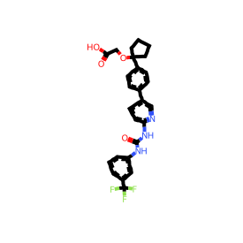 O=C(O)COC1(c2ccc(-c3ccc(NC(=O)Nc4cccc(C(F)(F)F)c4)nc3)cc2)CCCC1